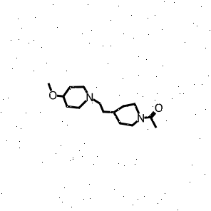 COC1CCN(CCC2CCN(C(C)=O)CC2)CC1